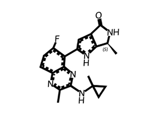 Cc1nc2ccc(F)c(-c3cc4c([nH]3)[C@H](C)NC4=O)c2nc1NC1(C)CC1